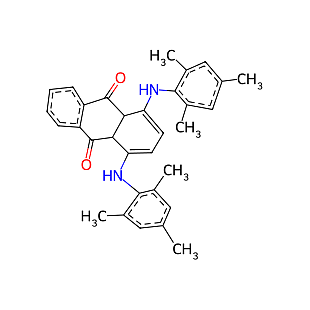 Cc1cc(C)c(NC2=CC=C(Nc3c(C)cc(C)cc3C)C3C(=O)c4ccccc4C(=O)C23)c(C)c1